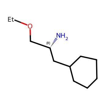 CCOC[C@H](N)CC1CCCCC1